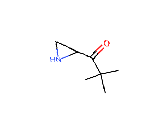 CC(C)(C)C(=O)C1CN1